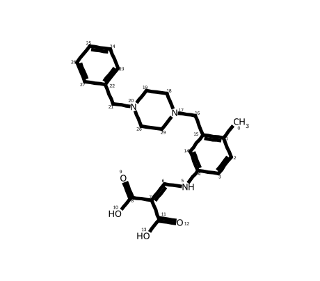 Cc1ccc(NC=C(C(=O)O)C(=O)O)cc1CN1CCN(Cc2ccccc2)CC1